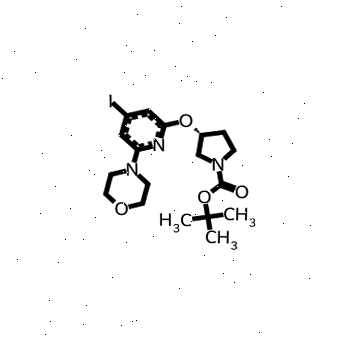 CC(C)(C)OC(=O)N1CC[C@@H](Oc2cc(I)cc(N3CCOCC3)n2)C1